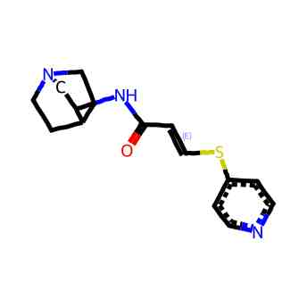 O=C(/C=C/Sc1ccncc1)NC1CN2CCC1CC2